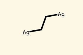 [Ag][CH2][CH2][Ag]